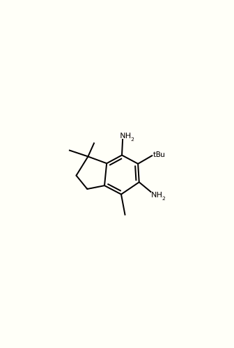 Cc1c(N)c(C(C)(C)C)c(N)c2c1CCC2(C)C